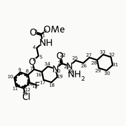 COC(=O)NCCOC(c1cccc(Cl)c1F)C1CCCN(C(=O)N(N)CCCC2CCCCC2)C1